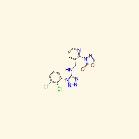 O=c1ocnn1-c1ncccc1CNc1nnnn1-c1cccc(Cl)c1Cl